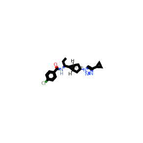 CCC(NC(=O)c1ccc(Cl)cc1)C1[C@H]2C[C@@H](n3cc(C4CC4)nn3)C[C@@H]12